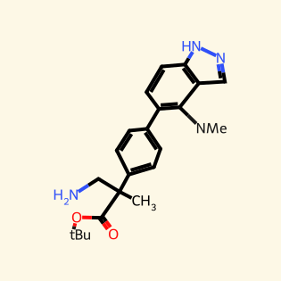 CNc1c(-c2ccc(C(C)(CN)C(=O)OC(C)(C)C)cc2)ccc2[nH]ncc12